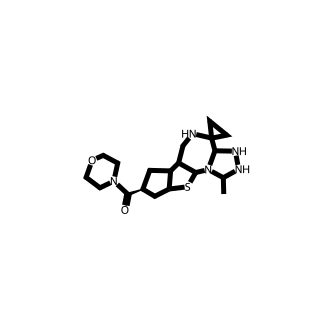 CC1NNC2N1C1SC3C[C@@H](C(=O)N4CCOCC4)CC3C1CNC21CC1